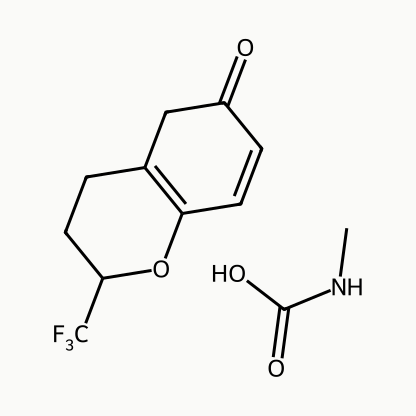 CNC(=O)O.O=C1C=CC2=C(CCC(C(F)(F)F)O2)C1